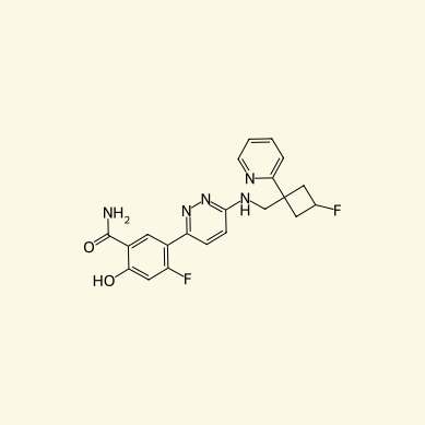 NC(=O)c1cc(-c2ccc(NCC3(c4ccccn4)CC(F)C3)nn2)c(F)cc1O